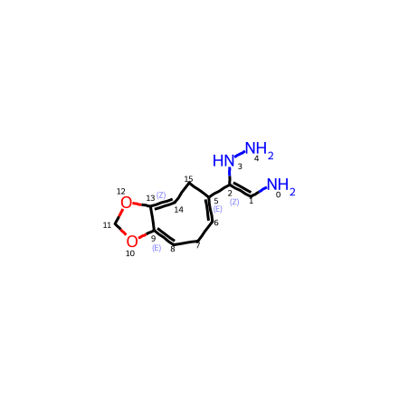 N/C=C(NN)/C1=C/C/C=C2/OCO/C2=C\C1